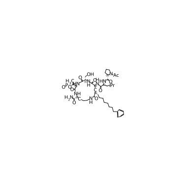 CC(=O)N1CCC[C@H]1C(=O)N[C@@H](CC(C)C)C(=O)N[C@H]1C[C@H](CCCCCCCCc2ccccc2)C(=O)NCCC[C@H](C(N)=O)NC(=O)[C@H]([C@@H](C)OP=O)NC(=O)[C@H](CO)NC1=O